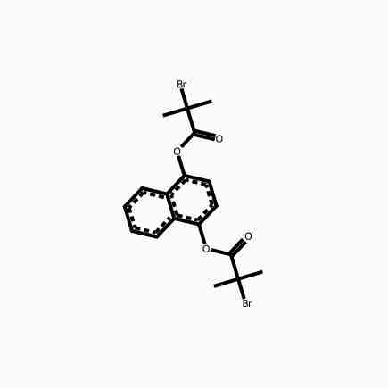 CC(C)(Br)C(=O)Oc1ccc(OC(=O)C(C)(C)Br)c2ccccc12